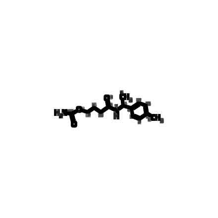 Cc1ccc(C(C)NC(=O)CCCOC(N)=O)cc1